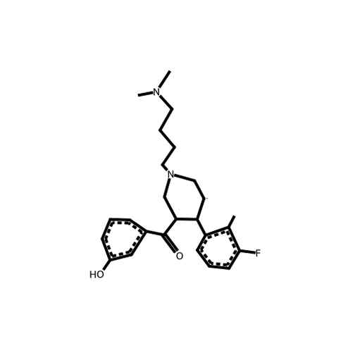 Cc1c(F)cccc1C1[CH]CN(CCCCN(C)C)CC1C(=O)c1cccc(O)c1